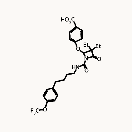 CCC1(CC)C(=O)N(C(=O)NCCCCc2ccc(OC(F)(F)F)cc2)C1Oc1ccc(C(=O)O)cc1